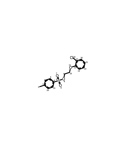 Cc1ccc(S(=O)(=O)OCCOc2ccccc2Cl)cc1